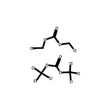 O=C(OC(Cl)(Cl)Cl)OC(Cl)(Cl)Cl.O=C(OCCl)OCCl